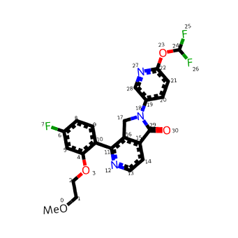 COCCOc1cc(F)ccc1-c1nccc2c1CN(c1ccc(OC(F)F)nc1)C2=O